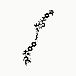 Cc1ncoc1-c1ccc([C@H](C)NC(=O)[C@@H]2CCCN2C(=O)C(NC(=O)COCCCCOc2ccc(-c3ccc(N4C(=S)N(c5cnc(C#N)c(C(F)(F)F)c5)C(=O)C4(C)C)cc3)cc2)C(C)(C)C)cc1